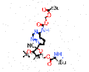 C[C@H]1[C@@H](O[Si](C)(C)C)[C@](C#N)(c2ccc3c(NC(=O)OCOC(=O)C(C)(C)C)ncnn23)O[C@@H]1COC(=O)[C@@H](N)C(C)(C)C